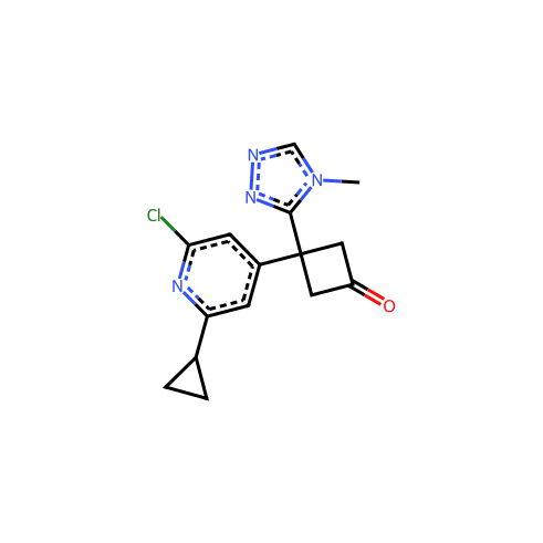 Cn1cnnc1C1(c2cc(Cl)nc(C3CC3)c2)CC(=O)C1